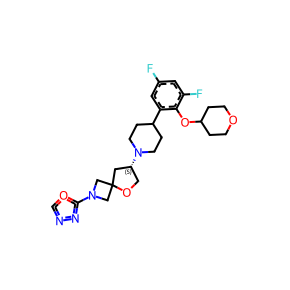 Fc1cc(F)c(OC2CCOCC2)c(C2CCN([C@@H]3COC4(C3)CN(c3nnco3)C4)CC2)c1